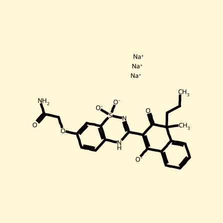 CCCC1(C)C(=O)C(C2=NS([O-])([O-])c3cc(OCC(N)=O)ccc3N2)=C([O-])c2ccccc21.[Na+].[Na+].[Na+]